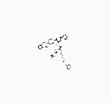 CC(C)(C)OC(=O)NC(CCCCNC(=O)OCc1ccccc1)C(=O)NC(CC(=O)c1cc(Br)c(N)c(Br)c1)C(=O)N1CCC(N2CCc3ccccc3NC2=O)CC1